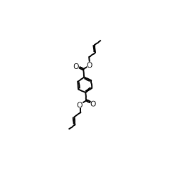 CC=CCOC(=O)c1ccc(C(=O)OCC=CC)cc1